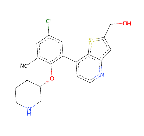 N#Cc1cc(Cl)cc(-c2ccnc3cc(CO)sc23)c1O[C@H]1CCCNC1